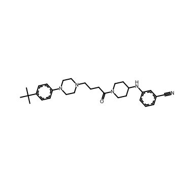 CC(C)(C)c1ccc(N2CCN(CCCC(=O)N3CCC(Nc4cccc(C#N)c4)CC3)CC2)cc1